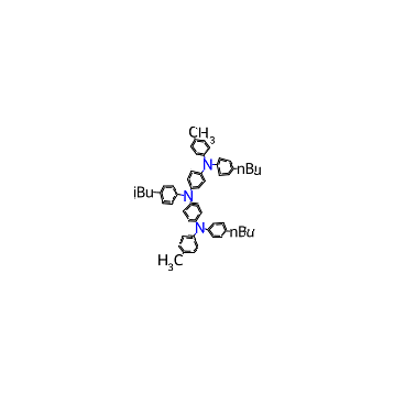 CCCCc1ccc(N(c2ccc(C)cc2)c2ccc(N(c3ccc(C(C)CC)cc3)c3ccc(N(c4ccc(C)cc4)c4ccc(CCCC)cc4)cc3)cc2)cc1